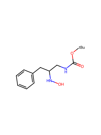 CC(C)(C)OC(=O)NCC(Cc1ccccc1)NO